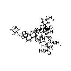 C=C[C@@H]1C[C@]1(NC(=O)[C@@H]1C[C@@H](Oc2cc(OCC)nc3c(Cl)c(OCCN4CCOCC4)ccc23)CN1C(=O)[C@@H](NC(=O)O[C@H]1CC[C@@H](C)C1)C(C)(C)C)C(=O)O